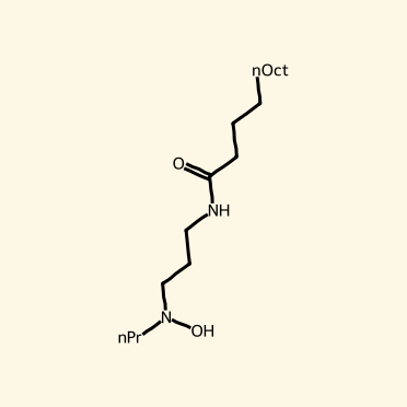 CCCCCCCCCCCC(=O)NCCCN(O)CCC